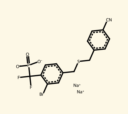 N#Cc1ccc(CSCc2ccc(C(F)(F)P(=O)([O-])[O-])c(Br)c2)cc1.[Na+].[Na+]